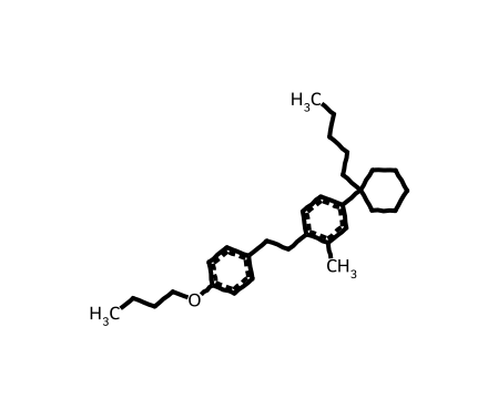 CCCCCC1(c2ccc(CCc3ccc(OCCCC)cc3)c(C)c2)CCCCC1